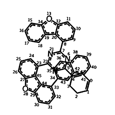 C1=CCCC(c2nc(-c3cccc4oc5ccccc5c34)nc(-c3cccc4oc5cccc(-c6ccc7ccccc7c6)c5c34)n2)=C1